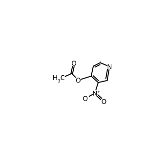 CC(=O)Oc1c[c]ncc1[N+](=O)[O-]